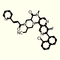 CN1C(=O)C2CN(C(=O)C=Cc3ccccn3)C(CC#N)CN2c2c1cnc1c(F)c(-c3cccc4cccc(Cl)c34)ncc21